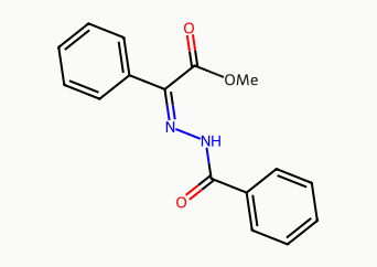 COC(=O)/C(=N\NC(=O)c1ccccc1)c1ccccc1